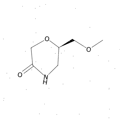 COC[C@H]1CNC(=O)CO1